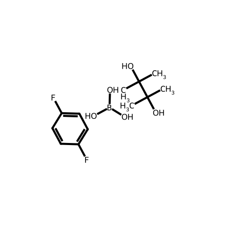 CC(C)(O)C(C)(C)O.Fc1ccc(F)cc1.OB(O)O